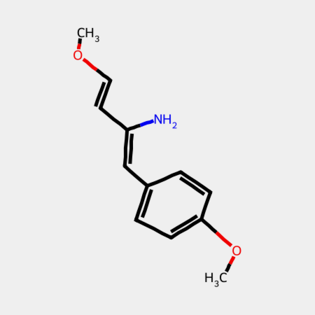 COC=CC(N)=Cc1ccc(OC)cc1